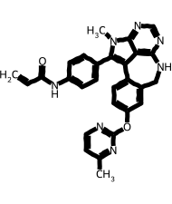 C=CC(=O)Nc1ccc(-c2c3c4c(ncnc4n2C)NCc2cc(Oc4nccc(C)n4)ccc2-3)cc1